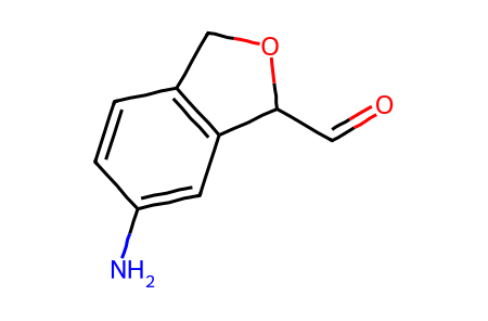 Nc1ccc2c(c1)C(C=O)OC2